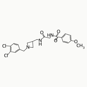 COc1ccc(S(=O)(=O)NCC(=O)NCC2CN(Cc3ccc(Cl)c(Cl)c3)C2)cc1